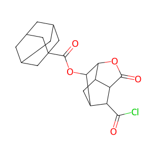 O=C(Cl)C1C2CC3C(OC(=O)C31)C2OC(=O)C12CC3CC(CC(C3)C1)C2